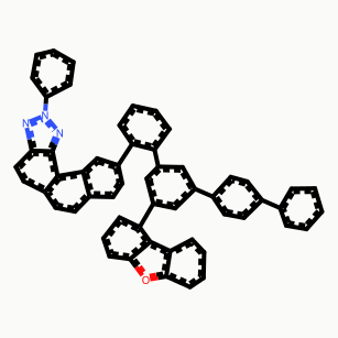 c1ccc(-c2ccc(-c3cc(-c4ccccc4-c4ccc5ccc6ccc7nn(-c8ccccc8)nc7c6c5c4)cc(-c4cccc5oc6ccccc6c45)c3)cc2)cc1